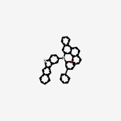 c1ccc(-c2cccc(N(c3ccc4sc5cc6ccccc6cc5c4c3)c3cc4ccccc4c4ccc5ccccc5c34)c2)cc1